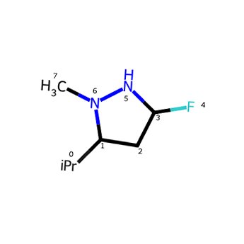 CC(C)C1CC(F)NN1C